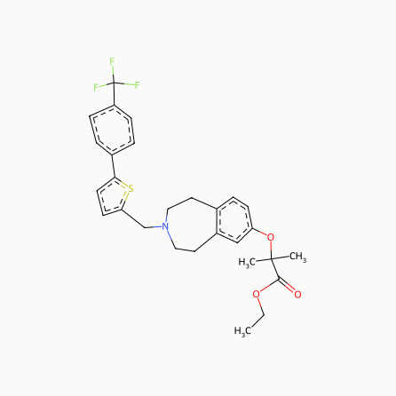 CCOC(=O)C(C)(C)Oc1ccc2c(c1)CCN(Cc1ccc(-c3ccc(C(F)(F)F)cc3)s1)CC2